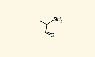 CC([SiH3])C=O